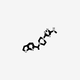 CNc1nnc(N2CCN(C(C)c3ccc4c(n3)OCC4)CC2)s1